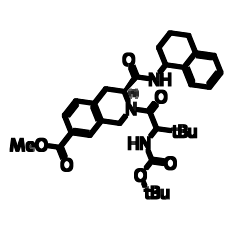 COC(=O)c1ccc2c(c1)CN(C(=O)C(NC(=O)OC(C)(C)C)C(C)(C)C)[C@H](C(=O)NC1CCCc3ccccc31)C2